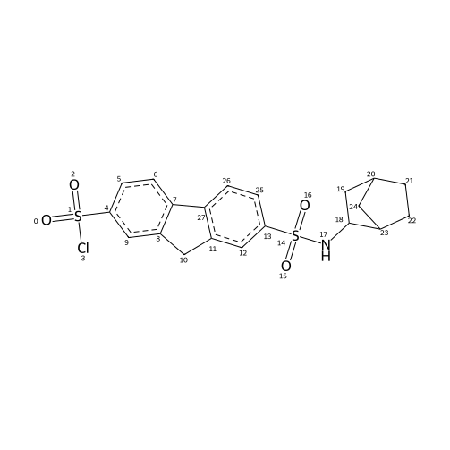 O=S(=O)(Cl)c1ccc2c(c1)Cc1cc(S(=O)(=O)NC3CC4CCC3C4)ccc1-2